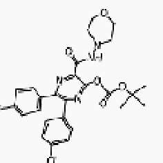 CC(C)(C)OC(=O)Oc1nc(-c2ccc(Cl)cc2)c(-c2ccc(Cl)cc2)nc1C(=O)NN1CCOCC1